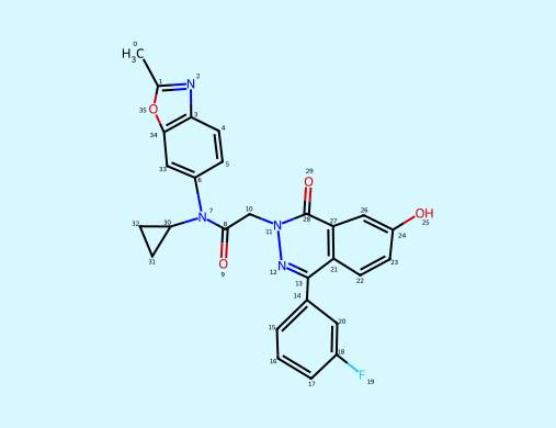 Cc1nc2ccc(N(C(=O)Cn3nc(-c4cccc(F)c4)c4ccc(O)cc4c3=O)C3CC3)cc2o1